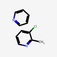 Cc1ncccc1Cl.c1ccncc1